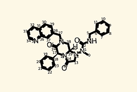 CN(C(=O)NCc1ccccc1)N1CC(=O)N2[C@@H](c3ccccc3)C(=O)N(Cc3ccc4cccnc4c3)C[C@@H]21